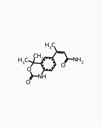 C/C(=C/C(N)=O)c1ccc2c(c1)C(C)(C)OC(=O)N2